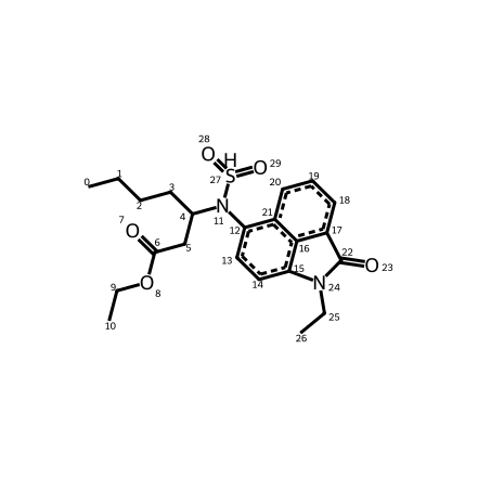 CCCCC(CC(=O)OCC)N(c1ccc2c3c(cccc13)C(=O)N2CC)[SH](=O)=O